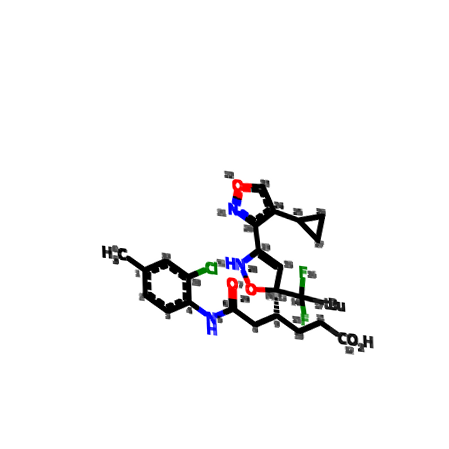 Cc1ccc(NC(=O)CC(CCC(=O)O)[C@@]2(C(F)(F)C(C)(C)C)C=C(c3nocc3C3CC3)NO2)c(Cl)c1